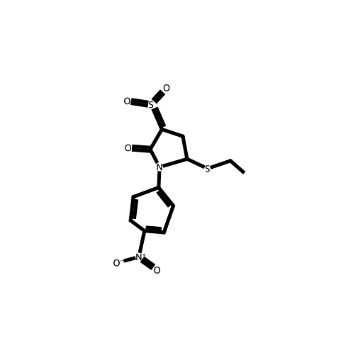 CCSC1CC(=S(=O)=O)C(=O)N1c1ccc([N+](=O)[O-])cc1